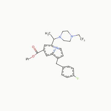 CC(C)OC(=O)c1cc(C(C)N2CCN(CC(F)(F)F)CC2)n2ccc(Cc3ccc(F)cc3)c2c1